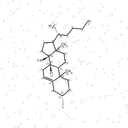 CC(C)CCC[C@@H](C)C1CC[C@H]2[C@H]3CC=C4C[C@@H](I)CCC4(C)C3CCC12C